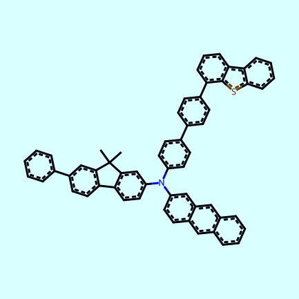 CC1(C)c2cc(-c3ccccc3)ccc2-c2ccc(N(c3ccc(-c4ccc(-c5cccc6c5sc5ccccc56)cc4)cc3)c3ccc4cc5ccccc5cc4c3)cc21